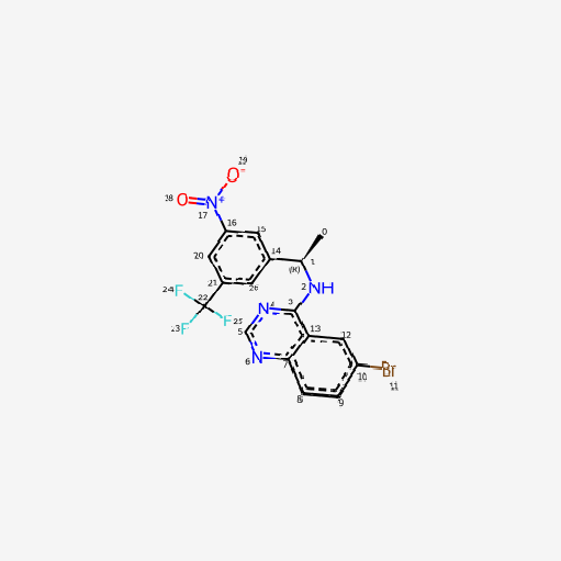 C[C@@H](Nc1ncnc2ccc(Br)cc12)c1cc([N+](=O)[O-])cc(C(F)(F)F)c1